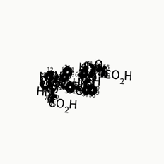 CC(C(=O)N[C@H]1CCS[C@H]2CC(C)(C)[C@@H](C(=O)N[C@H]3c4ccccc4C[C@H]3OCc3ccc(CO[C@@H]4Cc5ccccc5[C@@H]4NC(=O)[C@H]4N5C(=O)[C@@H](NC(=O)C(C)N(C)C(=O)O)CCS[C@H]5CC4(C)C)cc3)N2C1=O)N(C)C(=O)O